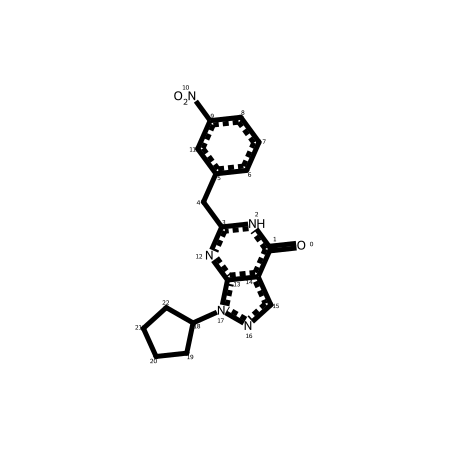 O=c1[nH]c(Cc2cccc([N+](=O)[O-])c2)nc2c1cnn2C1CCCC1